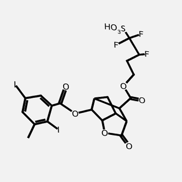 Cc1cc(I)cc(C(=O)OC2C3CC4C2OC(=O)C4C3C(=O)OCCC(F)C(F)(F)S(=O)(=O)O)c1I